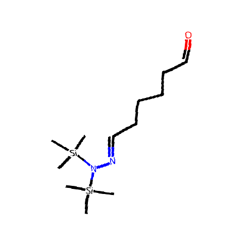 C[Si](C)(C)N(N=CCCCCC=O)[Si](C)(C)C